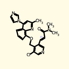 Cc1cc(-n2ccnc2)c2cccc(OCc3c(Cl)cncc3/C=C/C(=O)N(C)C)c2n1